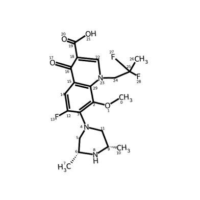 COc1c(N2C[C@@H](C)N[C@@H](C)C2)c(F)cc2c(=O)c(C(=O)O)cn(CC(C)(F)F)c12